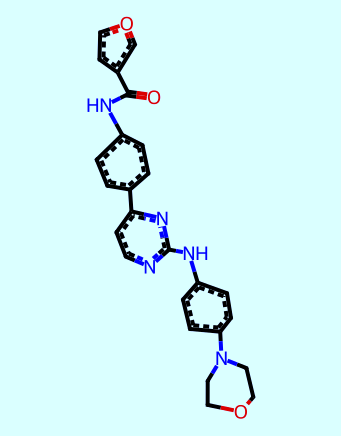 O=C(Nc1ccc(-c2ccnc(Nc3ccc(N4CCOCC4)cc3)n2)cc1)c1ccoc1